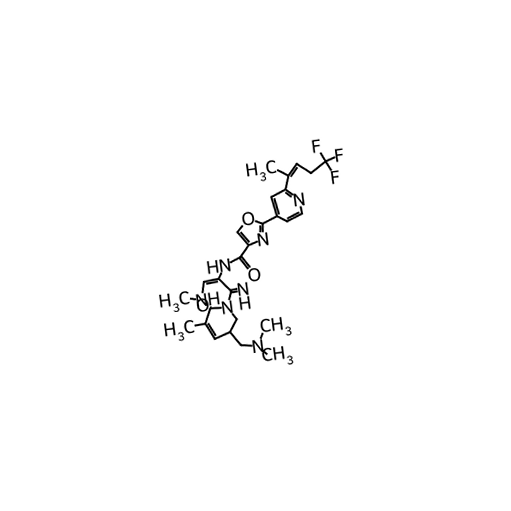 CN/C=C(/NC(=O)c1coc(-c2ccnc(/C(C)=C\CC(F)(F)F)c2)n1)C(=N)N1CC(CN(C)C)C=C(C)C1=O